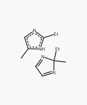 CCC1(C)N=CC=N1.CCc1ncc(C)[nH]1